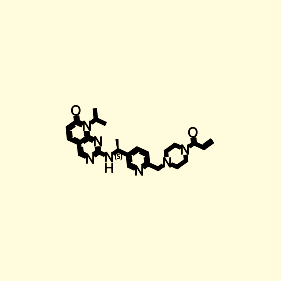 C=CC(=O)N1CCN(Cc2ccc([C@H](C)Nc3ncc4ccc(=O)n(C(C)C)c4n3)cn2)CC1